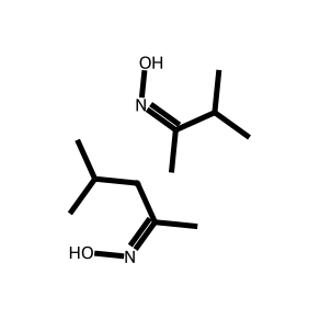 CC(=NO)C(C)C.CC(CC(C)C)=NO